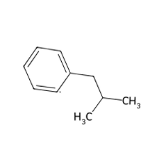 CC(C)Cc1[c]cccc1